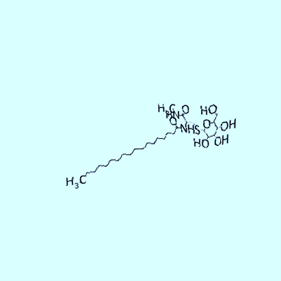 CCCCCCCCCCCCCCCCCC(=O)N[C@@H](CS[C@@H]1OC(CO)[C@H](O)[C@H](O)C1O)C(=O)NC